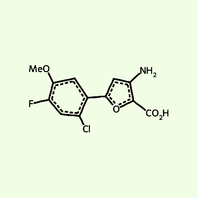 COc1cc(-c2cc(N)c(C(=O)O)o2)c(Cl)cc1F